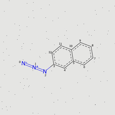 [N-]=[N+]=Nc1[c]c2ccccc2cc1